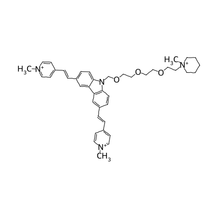 C[n+]1ccc(/C=C/c2ccc3c(c2)c2cc(/C=C/c4cc[n+](C)cc4)ccc2n3COCCOCCOCC[N+]2(C)CCCCC2)cc1